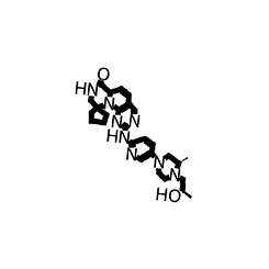 C[C@@H](O)CN1CCN(c2ccc(Nc3ncc4c(n3)N3C(C=C4)C(=O)NCC34CCCC4)nc2)C[C@@H]1C